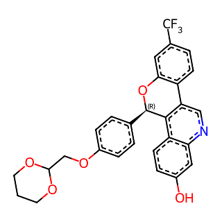 Oc1ccc2c3c(cnc2c1)-c1ccc(C(F)(F)F)cc1O[C@@H]3c1ccc(OCC2OCCCO2)cc1